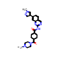 CN1CCN(C(=O)C2CCC(C(=O)Nc3ncc4ccc(-c5cnn(C)c5)cc4n3)CC2)CC1